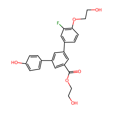 O=C(OCCO)c1cc(-c2ccc(O)cc2)cc(-c2ccc(OCCO)c(F)c2)c1